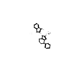 CC1=CC2=C(CCCC2c2ccccc2)[CH]1[Zr+2][C]1=C(C)c2ccccc2C1C.[Cl-].[Cl-]